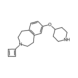 C1=CC(N2CCc3ccc(OC4CCNCC4)cc3CC2)=C1